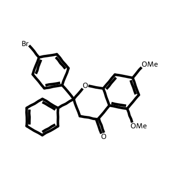 COc1cc(OC)c2c(c1)OC(c1ccccc1)(c1ccc(Br)cc1)CC2=O